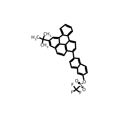 CC(C)(C)c1cc2ccc3c(-c4ccc5cc(OS(=O)(=O)C(F)(F)F)ccc5c4)ccc4c5ccccc5c(c1)c2c34